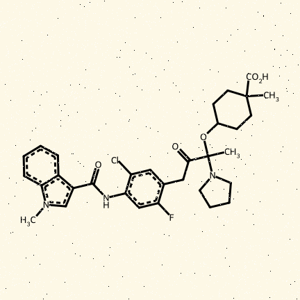 Cn1cc(C(=O)Nc2cc(F)c(CC(=O)C(C)(OC3CCC(C)(C(=O)O)CC3)N3CCCC3)cc2Cl)c2ccccc21